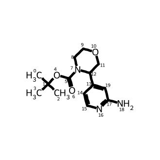 CC(C)(C)OC(=O)N1CCOCC1c1ccnc(N)c1